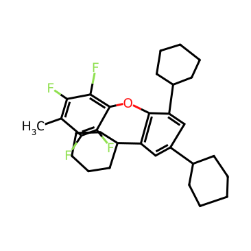 Cc1c(F)c(F)c(Oc2c(C3CCCCC3)cc(C3CCCCC3)cc2C2CCCCC2)c(F)c1F